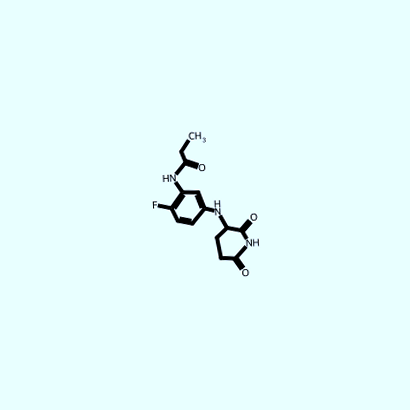 CCC(=O)Nc1cc(NC2CCC(=O)NC2=O)ccc1F